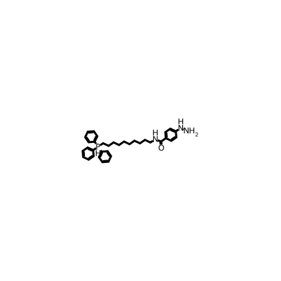 NNc1ccc(C(=O)NCCCCCCCCCC[PH](c2ccccc2)(c2ccccc2)c2ccccc2)cc1